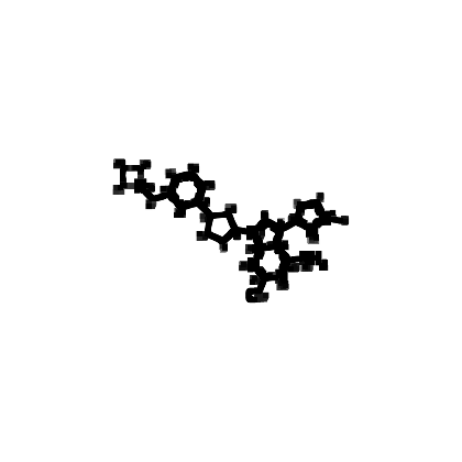 Cn1ccc(-c2cn(C3CCC(c4cccc(CN5CCC5)c4)C3)c3nc(Cl)nc(N)c23)n1